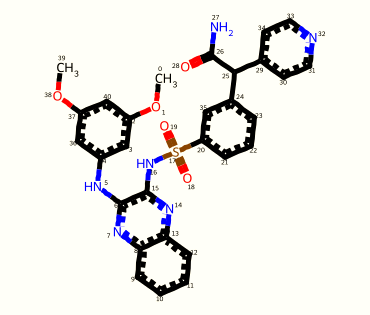 COc1cc(Nc2nc3ccccc3nc2NS(=O)(=O)c2cccc(C(C(N)=O)c3ccncc3)c2)cc(OC)c1